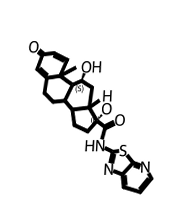 CC12C=CC(=O)C=C1CCC1C2[C@@H](O)CC2(C)C1CC[C@]2(O)C(=O)Nc1nc2cccnc2s1